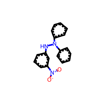 O=[N+]([O-])c1cccc(NN(c2ccccc2)c2ccccc2)c1